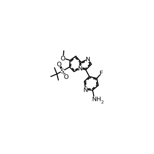 COc1cc2ncc(-c3cnc(N)cc3F)n2cc1S(=O)(=O)C(C)(C)C